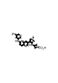 CC(C)c1cnnc(Nc2ccc3ncc(-c4cn(C)nc4NC4CN(C(=O)O)C4)cc3n2)c1